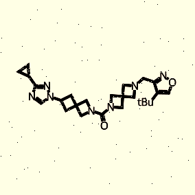 CC(C)(C)c1conc1CN1CC2(C1)CN(C(=O)N1CC3(CC(n4cnc(C5CC5)n4)C3)C1)C2